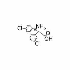 N[C@H](c1ccc(Cl)cc1)C(CCC(=O)O)c1cccc(Cl)c1